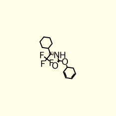 O=C(N[C@@H](C1CCCCC1)C(F)(F)F)OC1C=CC=CC1